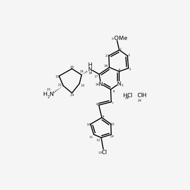 COc1ccc2nc(C=Cc3ccc(Cl)cc3)nc(N[C@H]3CC[C@@H](N)CC3)c2c1.Cl.Cl